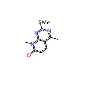 CSc1nc(C)c2ccc(=O)n(C)c2n1